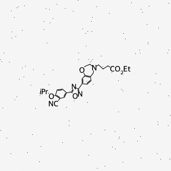 CCOC(=O)CCCN1CCOc2cc(-c3noc(-c4ccc(OC(C)C)c(C#N)c4)n3)ccc2C1